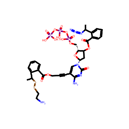 CC(N=[N+]=[N-])c1ccccc1C(=O)OC1C[C@H](n2cc(C#CCOC(=O)c3ccccc3C(C)SSCCN)c(N)nc2=O)O[C@@H]1COP(=O)(O)OP(=O)(O)OP(=O)(O)O